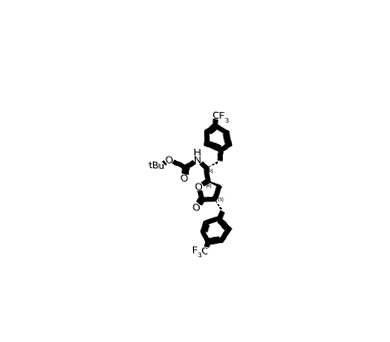 CC(C)(C)OC(=O)N[C@H](Cc1ccc(C(F)(F)F)cc1)[C@H]1C[C@H](Cc2ccc(C(F)(F)F)cc2)C(=O)O1